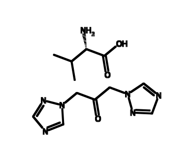 CC(C)[C@H](N)C(=O)O.O=C(Cn1cncn1)Cn1cncn1